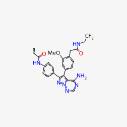 C=CC(=O)Nc1ccc(-c2nn3ncnc(N)c3c2-c2ccc(CC(=O)NCC(F)(F)F)c(OC)c2)cc1